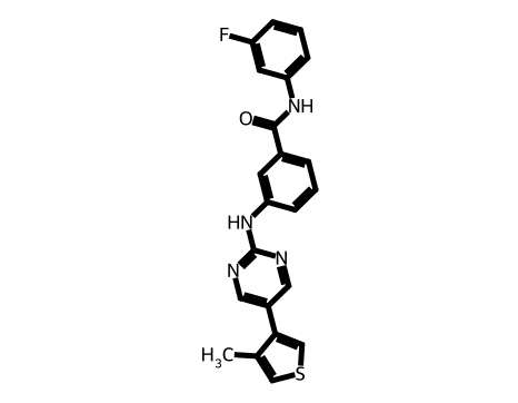 Cc1cscc1-c1cnc(Nc2cccc(C(=O)Nc3cccc(F)c3)c2)nc1